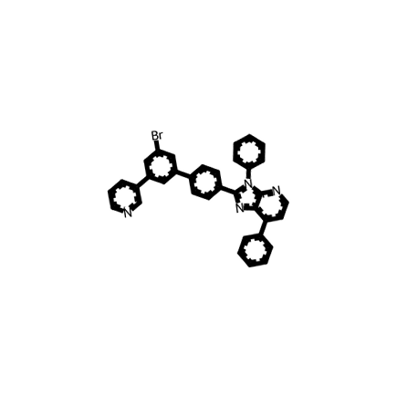 Brc1cc(-c2ccc(-c3nc4c(-c5ccccc5)ccnc4n3-c3ccccc3)cc2)cc(-c2cccnc2)c1